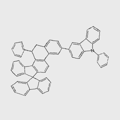 c1ccc(C2Cc3ccc(-c4ccc5c(c4)c4ccccc4n5-c4ccccc4)cc3-c3ccc4c(c32)-c2ccccc2C42c3ccccc3-c3ccccc32)cc1